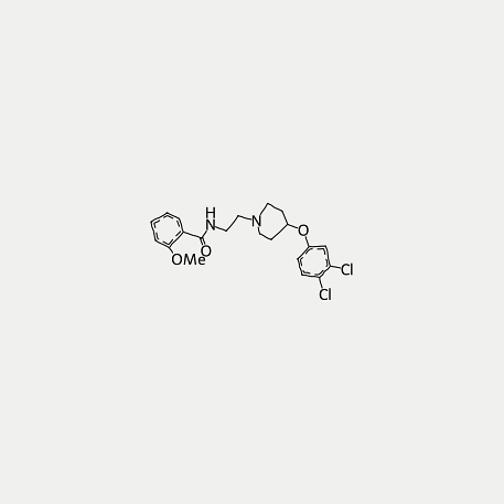 COc1ccccc1C(=O)NCCN1CCC(Oc2ccc(Cl)c(Cl)c2)CC1